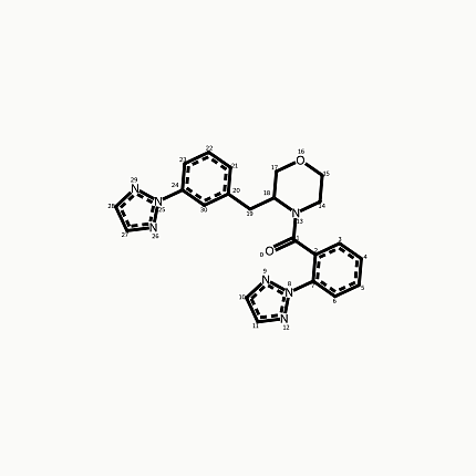 O=C(c1ccccc1-n1nccn1)N1CCOCC1Cc1cccc(-n2nccn2)c1